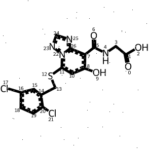 O=C(O)CNC(=O)c1c(O)cc(SCc2cc(Cl)ccc2Cl)n2ncnc12